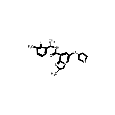 C[C@@H]1CN2C=C(O[C@@H]3CCOC3)C=C(C(=O)N[C@H](C)c3cccc(C(F)(F)F)c3F)C2=N1